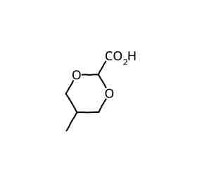 CC1COC(C(=O)O)OC1